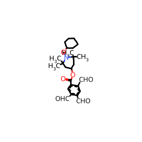 CC1(C)CC(OC(=O)c2cc(C=O)c(C=O)cc2C=O)CC(C)(C)N1OC1CCCCC1